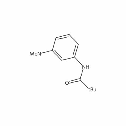 CNc1cccc(NC(=O)C(C)(C)C)c1